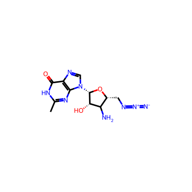 Cc1nc2c(ncn2[C@@H]2O[C@H](CN=[N+]=[N-])C(N)[C@@H]2O)c(=O)[nH]1